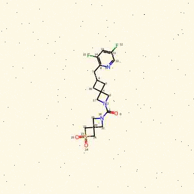 O=C(N1CC2(CC(Cc3ncc(F)cc3F)C2)C1)N1CC2(C1)CS(=O)(=O)C2